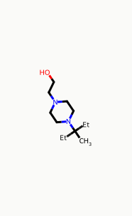 CCC(C)(CC)N1CCN(CCO)CC1